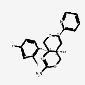 NC1=N[C@@]2(c3ccc(F)cc3F)CO[C@@H](c3ccccn3)C[C@H]2CS1